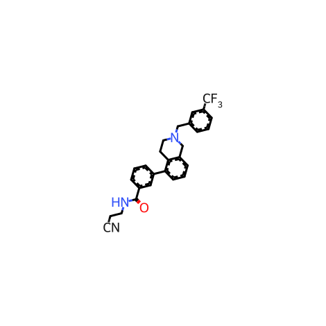 N#CCCNC(=O)c1cccc(-c2cccc3c2CCN(Cc2cccc(C(F)(F)F)c2)C3)c1